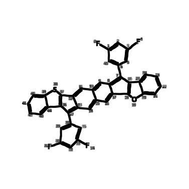 Fc1cc(F)cc(C2=c3cc4cc5c(cc4cc3-c3oc4ccccc4c32)=C(c2cc(F)cc(F)c2)c2c-5sc3ccccc23)c1